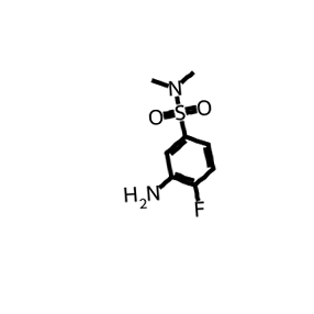 CN(C)S(=O)(=O)c1ccc(F)c(N)c1